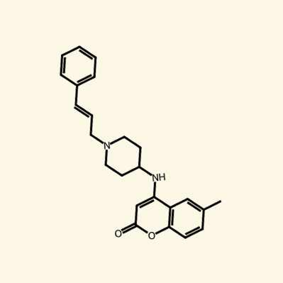 Cc1ccc2oc(=O)cc(NC3CCN(CC=Cc4ccccc4)CC3)c2c1